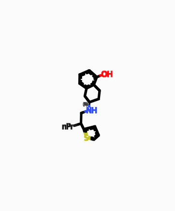 CCCC(CN[C@@H]1CCc2c(O)cccc2C1)c1cccs1